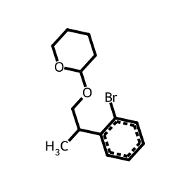 CC(COC1CCCCO1)c1ccccc1Br